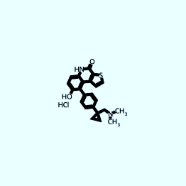 CN(C)CC1(c2ccc(-c3c(O)ccc4[nH]c(=O)c5sccc5c34)cc2)CC1.Cl